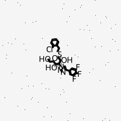 OCC1O[C@H](SCCc2ccccc2Cl)C(O)[C@@H](n2cc(-c3cc(F)c(F)c(F)c3)nn2)[C@H]1O